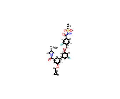 COC1CN(C(=O)c2cc(OCC3CC3)cc(-c3cc(F)cc(OCc4ccc(C(=O)NS(C)(=O)=O)cc4F)c3)c2)C1